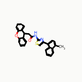 Cc1ccc(-c2csc(NC(=O)CC3c4ccccc4Oc4ccccc43)n2)c2ccccc12